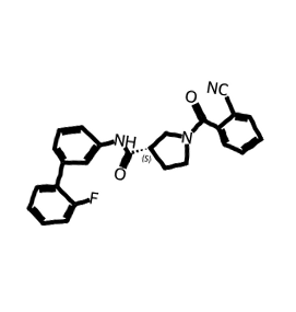 N#Cc1ccccc1C(=O)N1CC[C@H](C(=O)Nc2cccc(-c3ccccc3F)c2)C1